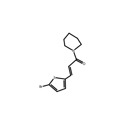 O=C(C=Cc1ccc(Br)s1)N1CCCCC1